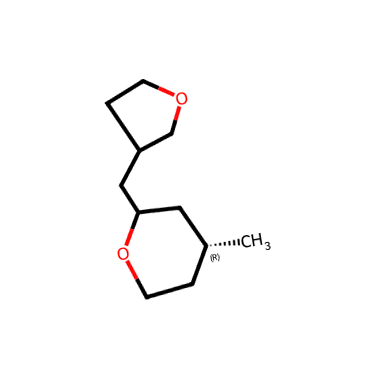 C[C@@H]1CCOC(CC2CCOC2)C1